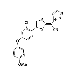 COc1ccc(Oc2ccc(C3CSC(=C(C#N)n4ccnc4)S3)c(Cl)c2)cn1